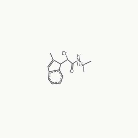 CCC(C(=O)N[SiH](C)C)C1C(C)=Cc2ccccc21